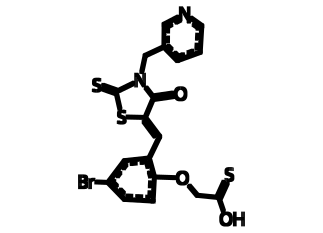 O=C1/C(=C/c2cc(Br)ccc2OCC(O)=S)SC(=S)N1Cc1cccnc1